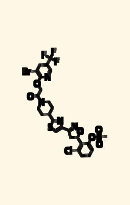 CS(=O)(=O)Oc1cccc(Cl)c1C1CC(c2csc(C3CCN(C(=O)COc4ncc(C(F)(F)F)cc4Br)CC3)n2)=NO1